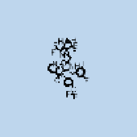 O=C(Cn1nc(C(F)F)c2c1C(F)(F)[C@@H]1C[C@H]21)N[C@@H](Cc1cc(F)cc(F)c1)c1nc2ncccc2c(=O)n1-c1ccc(OC(F)F)cc1